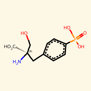 N[C@@](CO)(Cc1ccc(P(=O)(O)O)cc1)C(=O)O